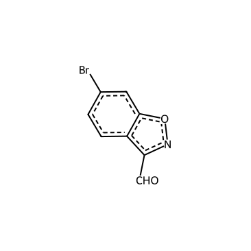 O=Cc1noc2cc(Br)ccc12